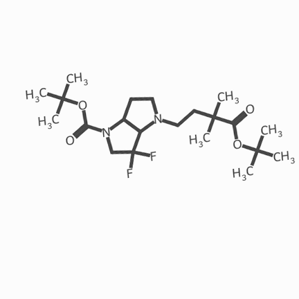 CC(C)(C)OC(=O)N1CC(F)(F)C2C1CCN2CCC(C)(C)C(=O)OC(C)(C)C